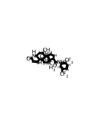 CC1CC2NC(=O)C=C[C@]2(C)[C@@H]2CC[C@]3(C)C(C(=O)Nc4cc(C(F)(F)F)ccc4C(F)(F)F)CC[C@H]3[C@H]12